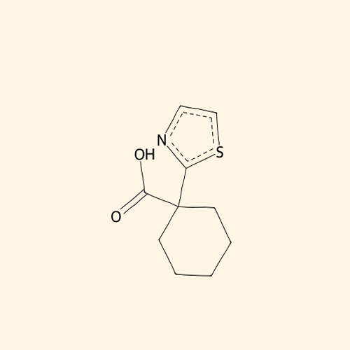 O=C(O)C1(c2nccs2)CCCCC1